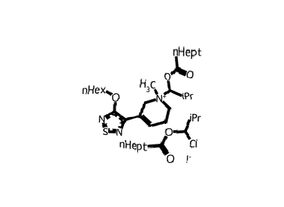 CCCCCCCC(=O)OC(C(C)C)[N+]1(C)CCC=C(c2nsnc2OCCCCCC)C1.CCCCCCCC(=O)OC(Cl)C(C)C.[I-]